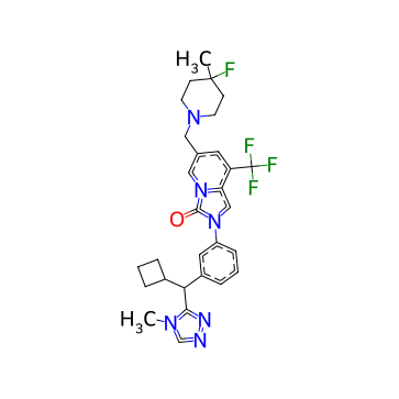 Cn1cnnc1C(c1cccc(-n2cc3c(C(F)(F)F)cc(CN4CCC(C)(F)CC4)cn3c2=O)c1)C1CCC1